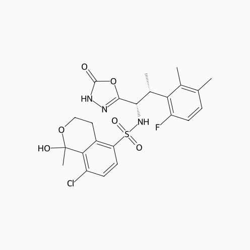 Cc1ccc(F)c([C@@H](C)[C@H](NS(=O)(=O)c2ccc(Cl)c3c2CCOC3(C)O)c2n[nH]c(=O)o2)c1C